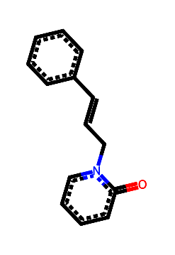 O=c1ccccn1CC=Cc1ccccc1